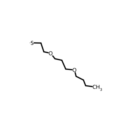 CCCCOCCCOCC[S]